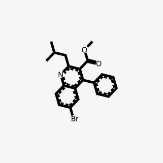 COC(=O)c1c(CC(C)C)nc2ccc(Br)cc2c1-c1ccccc1